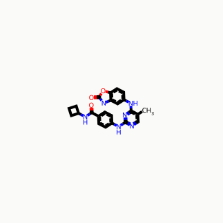 Cc1cnc(Nc2ccc(C(=O)NC3CCC3)cc2)nc1Nc1ccc2c(c1)[N]C(=O)O2